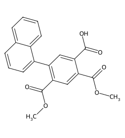 COC(=O)c1cc(C(=O)OC)c(-c2cccc3ccccc23)cc1C(=O)O